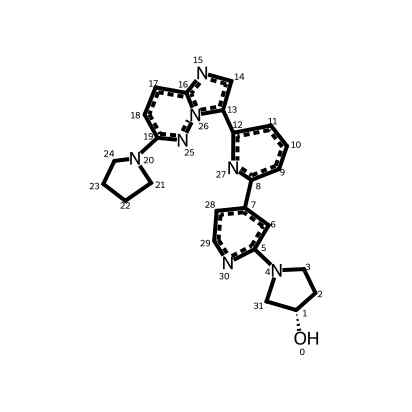 O[C@H]1CCN(c2cc(-c3cccc(-c4cnc5ccc(N6CCCC6)nn45)n3)ccn2)C1